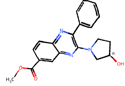 COC(=O)c1ccc2nc(-c3ccccc3)c(N3CC[C@@H](O)C3)nc2c1